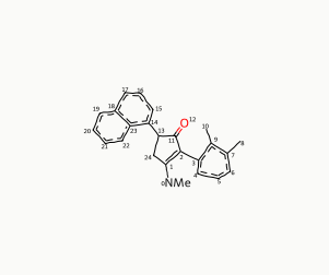 CNC1=C(c2cccc(C)c2C)C(=O)C(c2cccc3ccccc23)C1